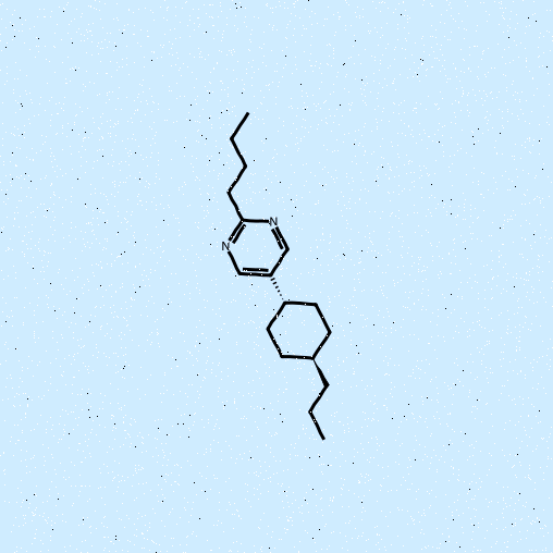 CCCCc1ncc([C@H]2CC[C@H](CCC)CC2)cn1